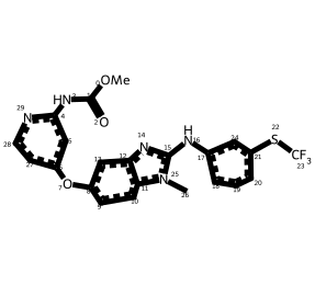 COC(=O)Nc1cc(Oc2ccc3c(c2)nc(Nc2cccc(SC(F)(F)F)c2)n3C)ccn1